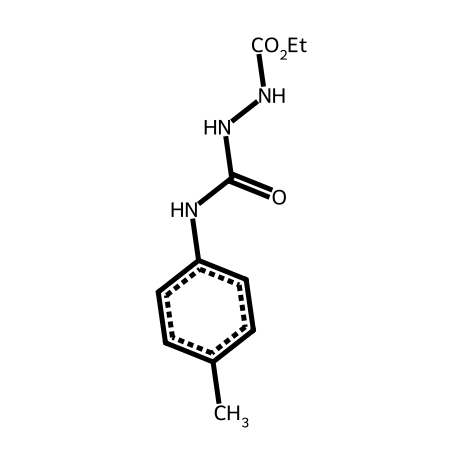 CCOC(=O)NNC(=O)Nc1ccc(C)cc1